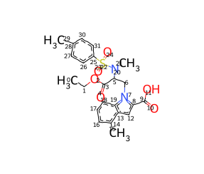 CCOC(=O)C(Cn1c(C(=O)O)cc2c(C)cccc21)N(C)S(=O)(=O)c1ccc(C)cc1